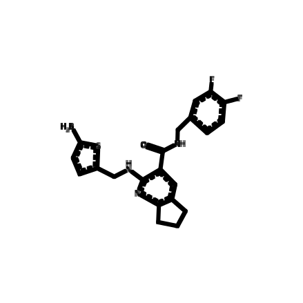 Bc1ccc(CNc2nc3c(cc2C(=O)NCc2ccc(F)c(F)c2)CCC3)s1